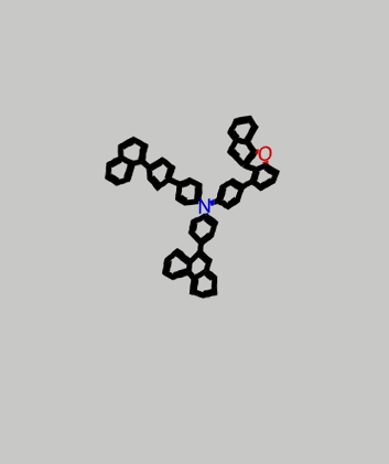 c1ccc2c(-c3ccc(-c4ccc(N(c5ccc(-c6cc7ccccc7c7ccccc67)cc5)c5ccc(-c6cccc7oc8c9ccccc9ccc8c67)cc5)cc4)cc3)cccc2c1